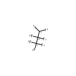 FC(F)(F)C(F)(F)C(I)I